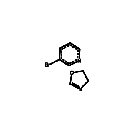 Brc1cccnc1.C1=NCCO1